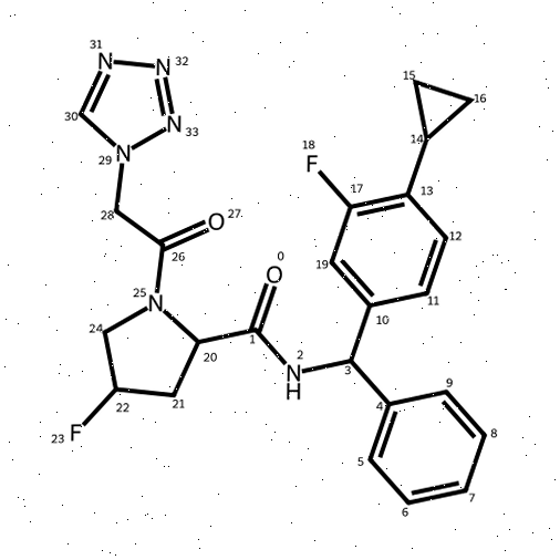 O=C(NC(c1ccccc1)c1ccc(C2CC2)c(F)c1)C1CC(F)CN1C(=O)Cn1cnnn1